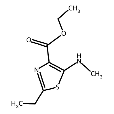 CCOC(=O)c1nc(CC)sc1NC